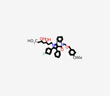 COc1ccc(COCN(C(=O)c2c(-c3ccccc3)c(-c3ccc(F)cc3)n(CCC(O)C[C@@H](O)CC(=O)O)c2C(C)C)c2ccccc2)cc1